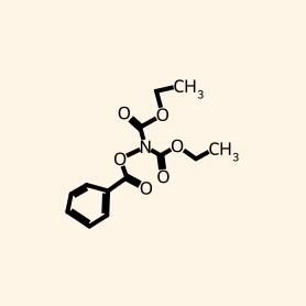 CCOC(=O)N(OC(=O)c1ccccc1)C(=O)OCC